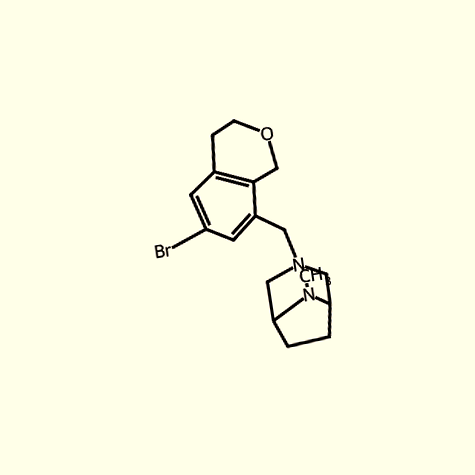 CN1C2CCC1CN(Cc1cc(Br)cc3c1COCC3)C2